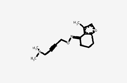 Cc1coc2c1/C(=N/OCC#CCN(C)C)CCC2